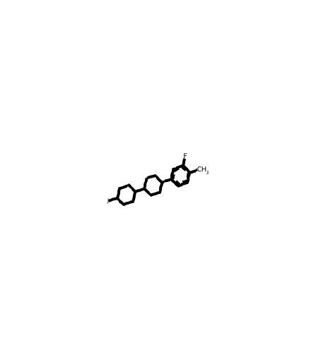 Cc1ccc(C2CCC(C3CCC(I)CC3)CC2)cc1F